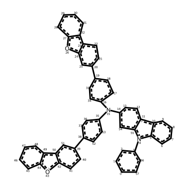 c1ccc(-n2c3ccccc3c3ccc(N(c4ccc(-c5ccc6c(c5)oc5ccccc56)cc4)c4ccc(-c5ccc6oc7ccccc7c6c5)cc4)cc32)cc1